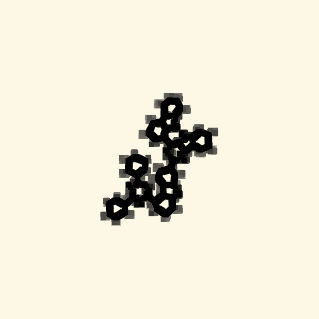 c1ccc(-c2nc(-c3ccccc3)nc(-c3cccc4sc5cc(-c6nc(-c7cccc8c7sc7ccccc78)c7sc8ccccc8c7n6)ccc5c34)n2)cc1